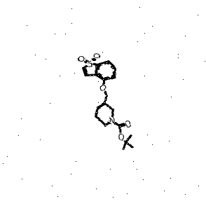 CC(C)(C)OC(=O)N1CCCC(COc2cccc3c2C=CS3(=O)=O)C1